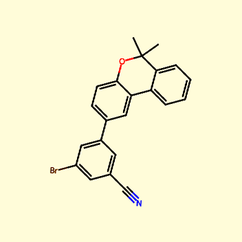 CC1(C)Oc2ccc(-c3cc(Br)cc(C#N)c3)cc2-c2ccccc21